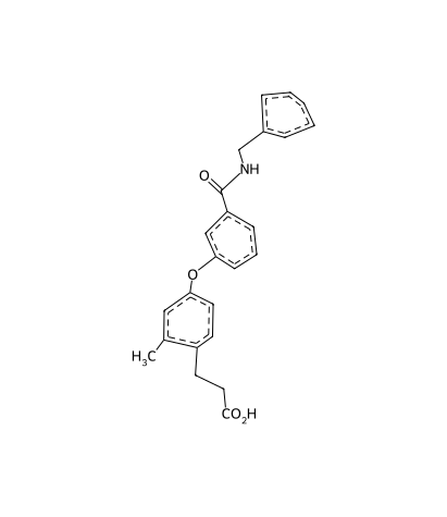 Cc1cc(Oc2cccc(C(=O)NCc3ccccc3)c2)ccc1CCC(=O)O